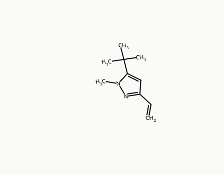 C=Cc1cc(C(C)(C)C)n(C)n1